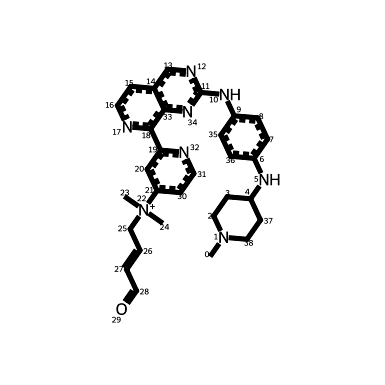 CN1CCC(Nc2ccc(Nc3ncc4ccnc(-c5cc([N+](C)(C)C/C=C/C=O)ccn5)c4n3)cc2)CC1